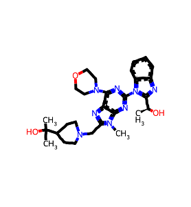 C[C@H](O)c1nc2ccccc2n1-c1nc(N2CCOCC2)c2nc(CN3CCC(C(C)(C)O)CC3)n(C)c2n1